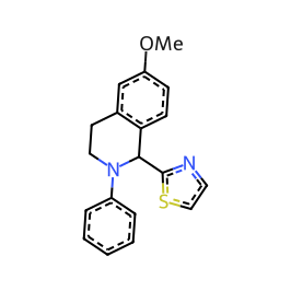 COc1ccc2c(c1)CCN(c1ccccc1)C2c1nccs1